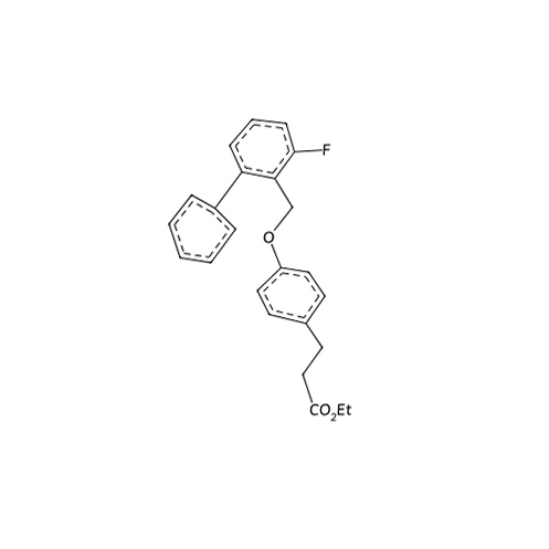 CCOC(=O)CCc1ccc(OCc2c(F)cccc2-c2ccccc2)cc1